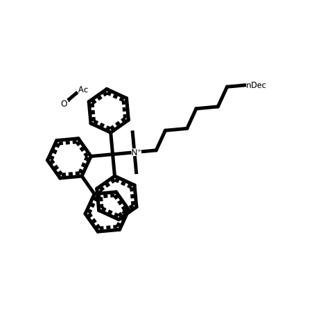 CC(=O)[O-].CCCCCCCCCCCCCCCC[N+](C)(C)C(c1ccccc1)(c1ccccc1)c1ccccc1-c1ccccc1